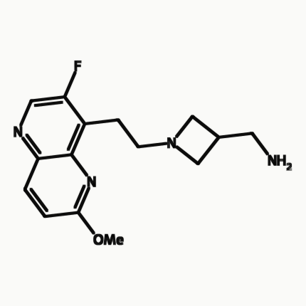 COc1ccc2ncc(F)c(CCN3CC(CN)C3)c2n1